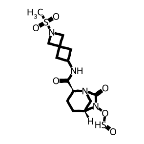 CS(=O)(=O)N1CC2(CC(NC(=O)[C@@H]3CC[C@@H]4CN3C(=O)N4O[SH]=O)C2)C1